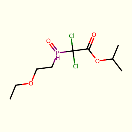 CCOCC[PH](=O)C(Cl)(Cl)C(=O)OC(C)C